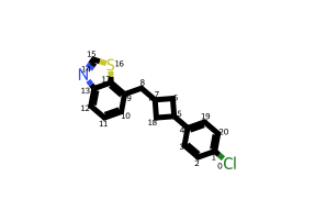 Clc1ccc(C2C[C](Cc3cccc4ncsc34)C2)cc1